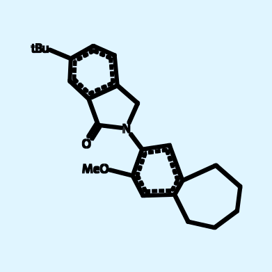 COc1cc2c(cc1N1Cc3ccc(C(C)(C)C)cc3C1=O)CCCCC2